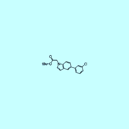 CC(C)(C)OC(=O)Cn1ccc2cc(-c3cccc(Cl)c3)ccc21